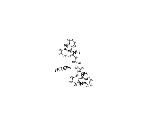 Cl.Cl.c1ccc2c(NCCCCCCCNc3c4c(nc5ccccc35)CCCC4)c3c(nc2c1)CCCC3